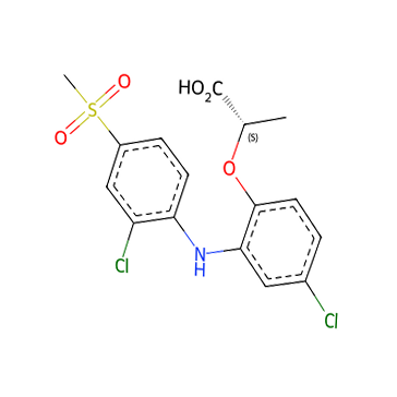 C[C@H](Oc1ccc(Cl)cc1Nc1ccc(S(C)(=O)=O)cc1Cl)C(=O)O